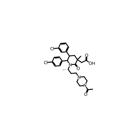 CC(=O)N1CCN(CC[C@H](C)N2C(=O)C(C)(CC(=O)O)CC(c3cccc(Cl)c3)C2c2ccc(Cl)cc2)CC1